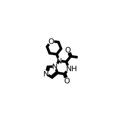 CC(=O)C1NC(=O)c2cncn2N1C1CCOCC1